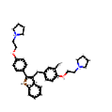 CCCc1cc(Cc2c(-c3ccc(OCCN4CCCC4)cc3)sc3ccccc23)ccc1OCCN1CCCC1